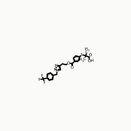 CC(C)(Sc1ccc(C(=O)OCCc2cn(Cc3ccc(C(F)(F)F)cc3)nn2)cc1)C(=O)O